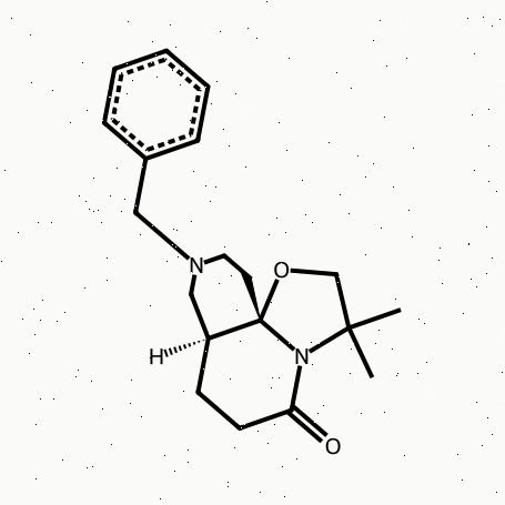 CC1(C)CO[C@@]23CCN(Cc4ccccc4)C[C@@H]2CCC(=O)N13